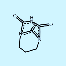 O=c1[nH]c(=O)n2c(=O)n1CCC2